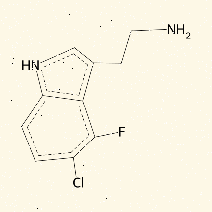 NCCc1c[nH]c2ccc(Cl)c(F)c12